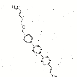 CC=CCCOCc1ccc(-c2ccc(-c3ccc(C=CC)cc3)cc2)cc1